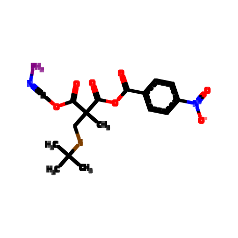 CC(C)(C)SCC(C)(C(=O)OB=NP)C(=O)OC(=O)c1ccc([N+](=O)[O-])cc1